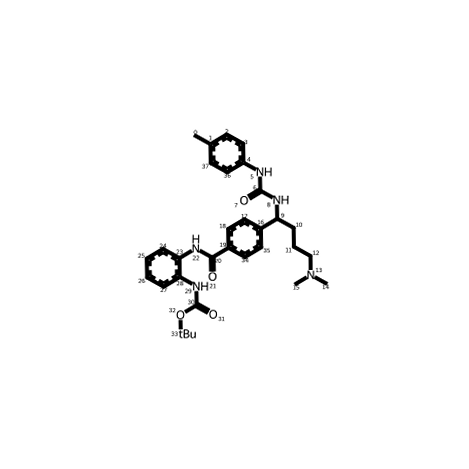 Cc1ccc(NC(=O)NC(CCCN(C)C)c2ccc(C(=O)Nc3ccccc3NC(=O)OC(C)(C)C)cc2)cc1